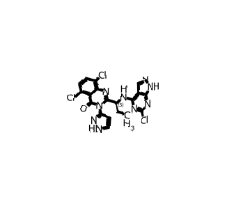 CC[C@H](Nc1nc(Cl)nc2[nH]ncc12)c1nc2c(Cl)ccc(Cl)c2c(=O)n1-c1cc[nH]n1